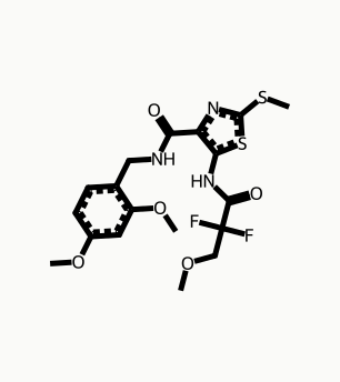 COCC(F)(F)C(=O)Nc1sc(SC)nc1C(=O)NCc1ccc(OC)cc1OC